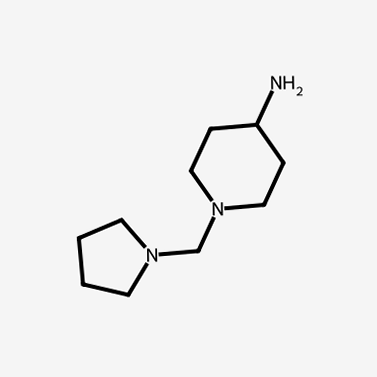 NC1CCN(CN2CCCC2)CC1